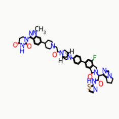 Cn1nc(N2CCC(=O)NC2=O)c2ccc(C3CCN(CC(=O)N4C[C@H]5C[C@@H]4CN5c4ccc(-c5cc(F)c6c(c5)C(=O)N(C(C(=O)Nc5nccs5)c5ncn7c5CCC7)C6)cc4)CC3)cc21